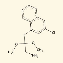 COC(CN)(Cc1cc(Cl)cc2ccccc12)OC